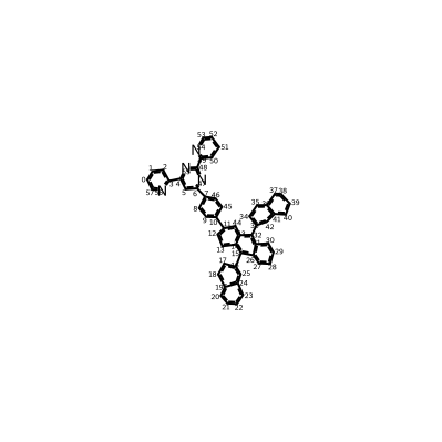 c1ccc(-c2cc(-c3ccc(-c4ccc5c(-c6ccc7ccccc7c6)c6ccccc6c(-c6ccc7ccccc7c6)c5c4)cc3)nc(-c3ccccn3)n2)nc1